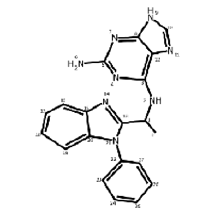 CC(Nc1nc(N)nc2[nH]cnc12)c1nc2ccccc2n1-c1ccccc1